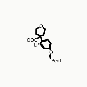 CCCC(C)COc1ccc(C2(C(=O)[O-])CCOCC2)cc1.[Li+]